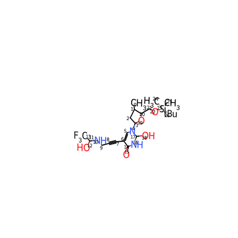 CC1CC(N2C=C(C#CCNC(O)C(F)(F)F)C(=O)NC2O)OC1CO[Si](C)(C)C(C)(C)C